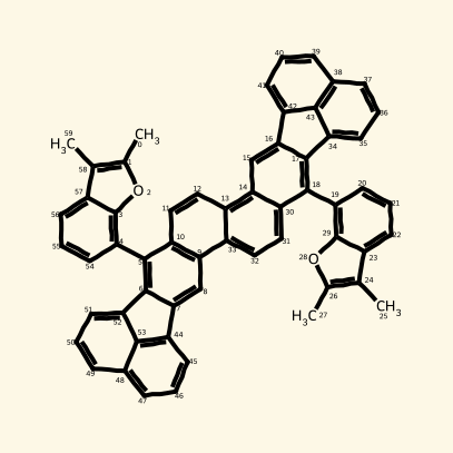 Cc1oc2c(-c3c4c(cc5c3ccc3c6cc7c(c(-c8cccc9c(C)c(C)oc89)c6ccc53)-c3cccc5cccc-7c35)-c3cccc5cccc-4c35)cccc2c1C